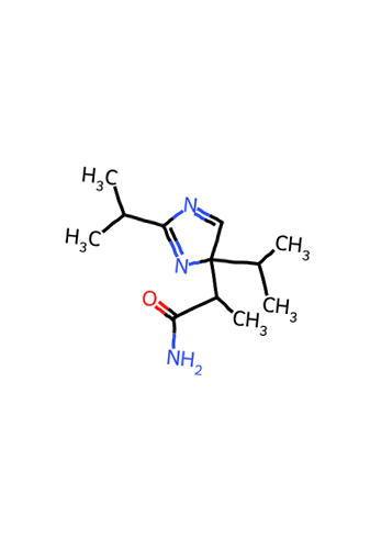 CC(C)C1=NC(C(C)C)(C(C)C(N)=O)C=N1